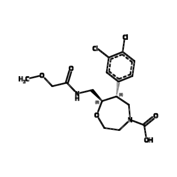 COCC(=O)NC[C@@H]1OCCN(C(=O)O)C[C@H]1c1ccc(Cl)c(Cl)c1